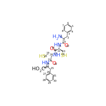 N[C@@H](Cc1ccccc1)C(=O)N[C@@H](CS)C(=O)N[C@@H](CS)C(=O)N[C@@H](Cc1ccccc1)C(=O)O